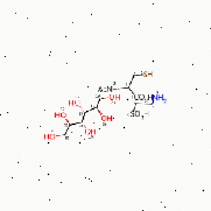 CC(=O)NC(CS)C(=O)O.NCCS(=O)(=O)O.OC[C@@H](O)[C@@H](O)[C@H](O)[C@H](O)CO